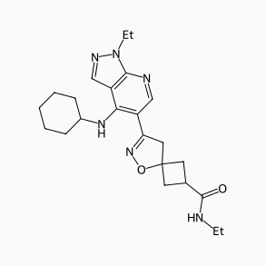 CCNC(=O)C1CC2(CC(c3cnc4c(cnn4CC)c3NC3CCCCC3)=NO2)C1